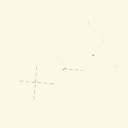 CCCCC(CC)(CO)CC(=O)CC(C)(CO)CO